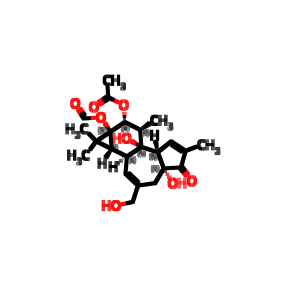 CC(=O)O[C@@H]1[C@@H](C)[C@@]2(O)[C@@H](C=C(CO)C[C@]3(O)C(=O)C(C)=C[C@@H]23)[C@@H]2C(C)(C)[C@]12OC=O